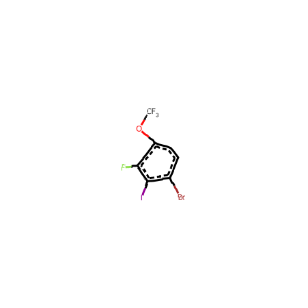 Fc1c(OC(F)(F)F)ccc(Br)c1I